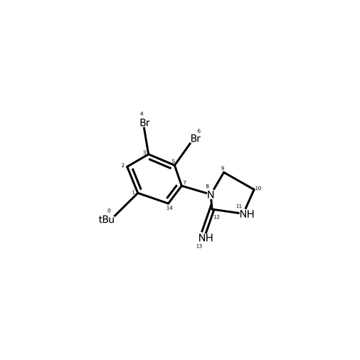 CC(C)(C)c1cc(Br)c(Br)c(N2CCNC2=N)c1